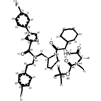 C[C@@H](C(=O)N[C@H](C(=O)N1CCC[C@H]1CN(CCc1ccc(F)cc1)C(=O)c1cn(-c2ccc(F)cc2)cn1)C1CCCCC1)N(C)C(=O)OC(C)(C)C